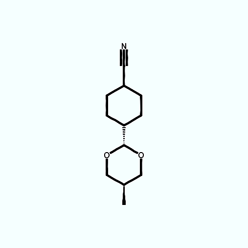 C[C@H]1CO[C@H](C2CCC(C#N)CC2)OC1